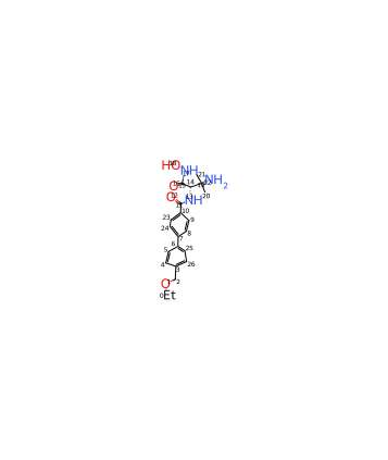 CCOCc1ccc(-c2ccc(C(=O)N[C@H](C(=O)NO)C(C)(C)N)cc2)cc1